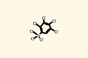 Clc1cc([Si](Cl)(Cl)Cl)c(Cl)c(Cl)c1Cl